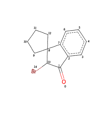 O=C1c2ccccc2C2(CCCC2)C1Br